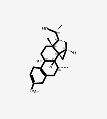 COC1=CCC2=C(C1)C[C@@H](C)[C@@H]1[C@@H]2CC[C@]2(C)[C@H]([C@@H](C)O)C[C@H]3C[C@@]312